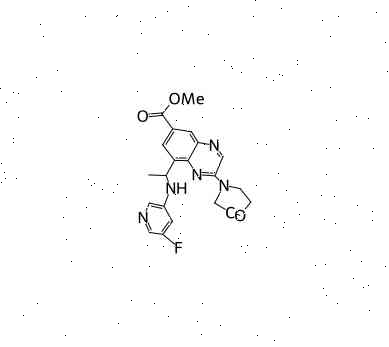 COC(=O)c1cc(C(C)Nc2cncc(F)c2)c2nc(N3CCOCC3)cnc2c1